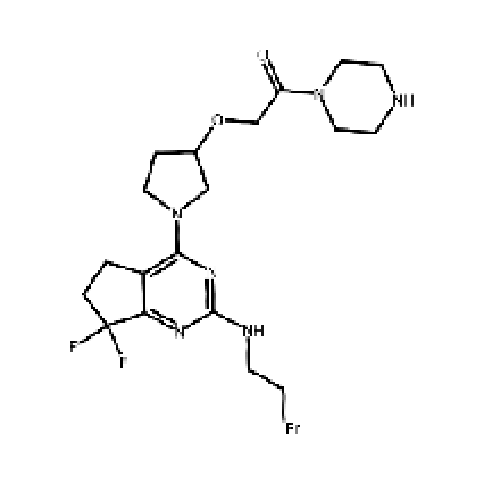 CC(C)CCNc1nc(N2CCC(OCC(=O)N3CCNCC3)C2)c2c(n1)C(F)(F)CC2